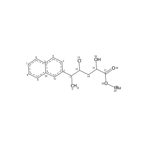 CC(c1ccc2ccccc2c1)C(Cl)CC(O)C(=O)OC(C)(C)C